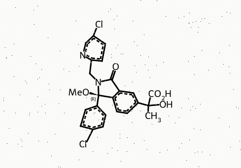 CO[C@]1(c2ccc(Cl)cc2)c2ccc(C(C)(O)C(=O)O)cc2C(=O)N1Cc1ccc(Cl)cn1